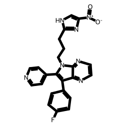 O=[N+]([O-])c1c[nH]c(CCCn2c(-c3ccncc3)c(-c3ccc(F)cc3)c3nccnc32)n1